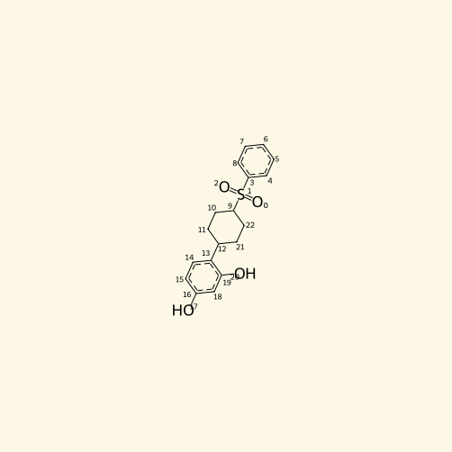 O=S(=O)(c1ccccc1)C1CCC(c2ccc(O)cc2O)CC1